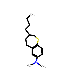 CCCCC1CCc2cc(N(C)C)ccc2SC1